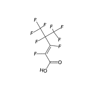 O=C(O)C(F)=C(F)C(F)(C(F)(F)F)C(F)(F)F